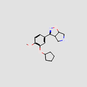 COc1ccc(C2=NOC3CNCC23)cc1OC1CCCC1